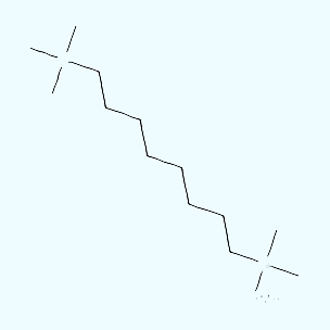 CO[Si](C)(C)CCCCCCCC[Si](C)(C)C